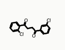 O=C(CCC(=O)c1ccccc1Cl)c1cccc(Cl)c1